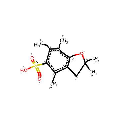 Cc1c(C)c(S(=O)(=O)O)c(C)c2c1OC(C)(C)C2